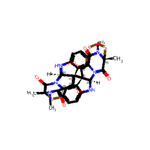 CN1C(=O)[C@@]23SSC1(C)C(=O)N2[C@H]1Nc2ccccc2[C@@]1([C@@]12c4ccccc4N[C@@H]1N1C(=O)[C@@]4(C)SSSSC1(C(=O)N4C)[C@H]2O)[C@@H]3O